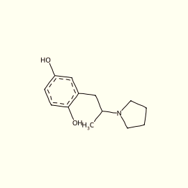 CC(Cc1cc(O)ccc1O)N1CCCC1